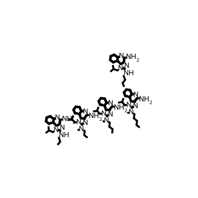 CCCCCN(C)c1nc2c(N)nc3ccccc3c2n1CC(C)C.CCCCN(C)c1nc2c(N)nc3ccccc3c2n1CC(C)C.CCCCNc1nc2c(N)nc3ccccc3c2n1CC(C)C.CCCN(C)c1nc2c(N)nc3ccccc3c2n1CC(C)C.CCCNc1nc2c(N)nc3ccccc3c2n1CC(C)C